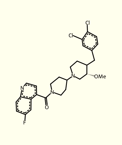 CO[C@@H]1CN(C2CCN(C(=O)c3ccnc4ccc(F)cc34)CC2)CCC1Cc1ccc(Cl)c(Cl)c1